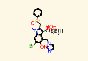 CCOC(=O)c1c(C[S+]([O-])c2ccccc2)n(C)c2cc(Br)c(O)c(Cn3ccnc3)c12.O.O=S(=O)(O)O